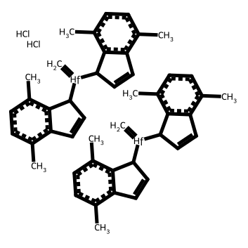 Cl.Cl.[CH2]=[Hf]([CH]1C=Cc2c(C)ccc(C)c21)[CH]1C=Cc2c(C)ccc(C)c21.[CH2]=[Hf]([CH]1C=Cc2c(C)ccc(C)c21)[CH]1C=Cc2c(C)ccc(C)c21